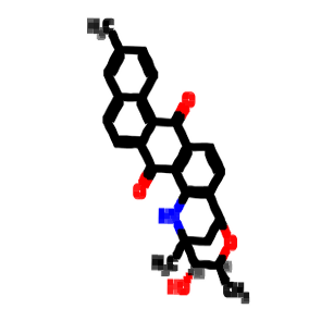 Cc1ccc2c3c(ccc2c1)C(=O)c1c(ccc2c1NC1(C)CC2O[C@@H](C)[C@@H]1O)C3=O